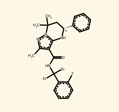 CCC(CC)(NC(=O)c1c(C)nn2c1N[C@@H](c1ccccc1)CC2(C)C)c1ccccc1F